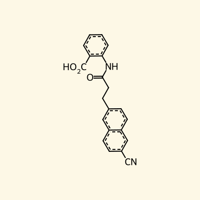 N#Cc1ccc2cc(CCC(=O)Nc3ccccc3C(=O)O)ccc2c1